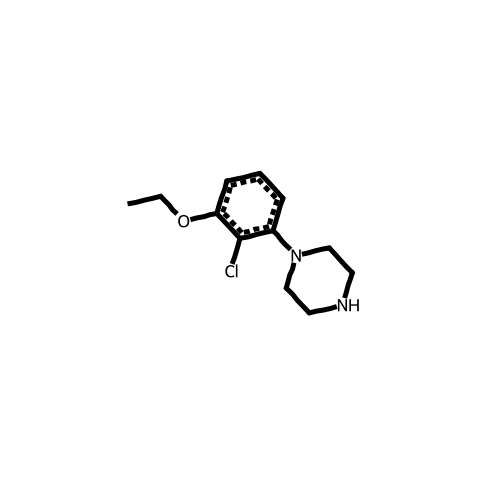 CCOc1cccc(N2CCNCC2)c1Cl